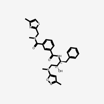 Cc1cc(N(C)C[C@@H](O)[C@H](Cc2ccccc2)NC(=O)c2cccc(C(=O)N(C)Cc3nc(C)cs3)c2)on1